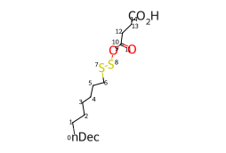 CCCCCCCCCCCCCCCCSSOC(=O)CCC(=O)O